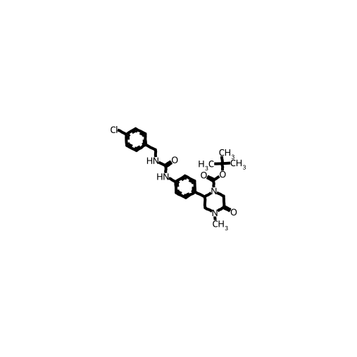 CN1CC(c2ccc(NC(=O)NCc3ccc(Cl)cc3)cc2)N(C(=O)OC(C)(C)C)CC1=O